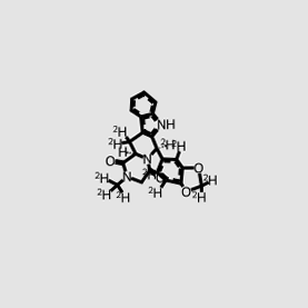 [2H]c1c([2H])c([C@]2([2H])c3[nH]c4ccccc4c3C([2H])([2H])[C@@H]3C(=O)N(C([2H])([2H])[2H])CC(=O)N32)c([2H])c2c1OC([2H])([2H])O2